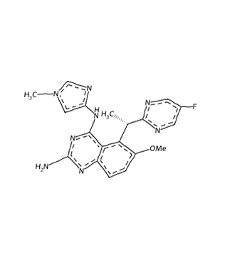 COc1ccc2nc(N)nc(Nc3cn(C)cn3)c2c1[C@H](C)c1ncc(F)cn1